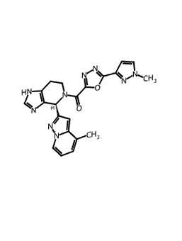 Cc1cccn2nc([C@H]3c4nc[nH]c4CCN3C(=O)c3nnc(-c4ccn(C)n4)o3)cc12